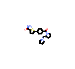 NC(=O)c1ccc(-c2ccc(C(=O)N3CCC[C@H]3Cn3cccc3)cc2)s1